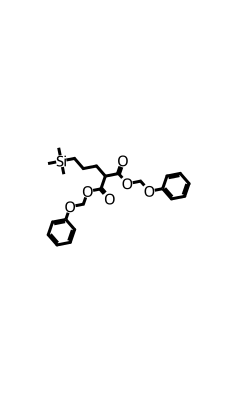 C[Si](C)(C)CCCC(C(=O)OCOc1ccccc1)C(=O)OCOc1ccccc1